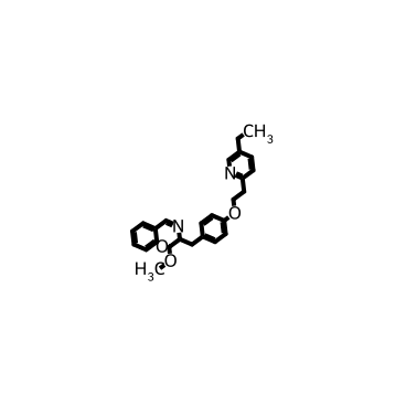 CCc1ccc(CCOc2ccc(CC(/N=C\c3ccccc3)C(=O)OC)cc2)nc1